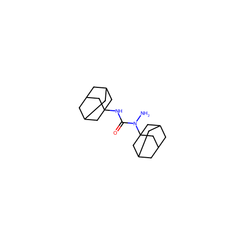 NN(C(=O)NC12CC3CC(CC(C3)C1)C2)C12CC3CC(CC(C3)C1)C2